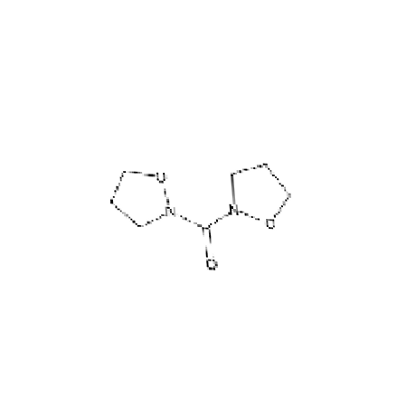 O=C(N1CCCO1)N1CCCO1